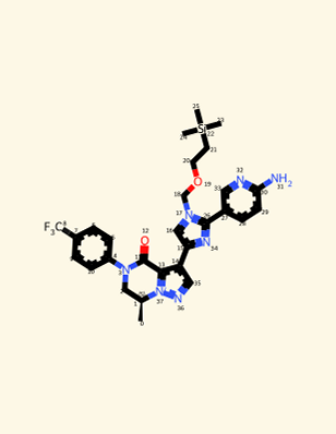 C[C@H]1CN(c2ccc(C(F)(F)F)cc2)C(=O)c2c(-c3cn(COCC[Si](C)(C)C)c(-c4ccc(N)nc4)n3)cnn21